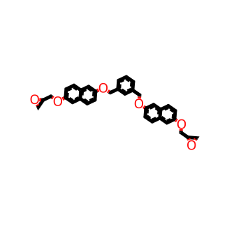 c1cc(COc2ccc3cc(OCC4CO4)ccc3c2)cc(COc2ccc3cc(OCC4CO4)ccc3c2)c1